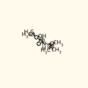 CCO[Si](CCCNC(=O)c1ccccc1C(=O)c1ccc(N(CC)CC)cc1O)(OCC)OCC